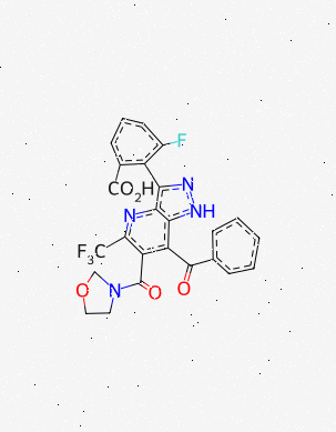 O=C(O)c1cccc(F)c1-c1n[nH]c2c(C(=O)c3ccccc3)c(C(=O)N3CCOC3)c(C(F)(F)F)nc12